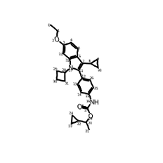 CCOc1ccc2c(C3CC3)c(-c3ccc(NC(=O)OC(C)C4CC4)cc3)n(C3CCC3)c2c1